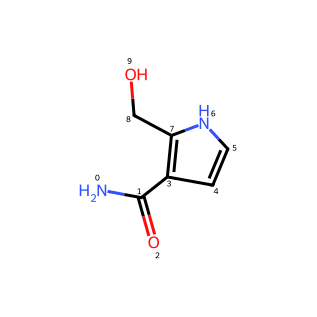 NC(=O)c1cc[nH]c1CO